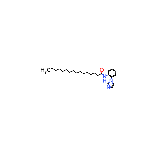 CCCCCCCCCCCCCCCC(=O)Nc1ccccc1-n1ccnc1